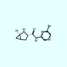 O=C(Nc1cncc(Br)n1)[C@@H]1CC2C[C@H]2N1